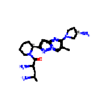 Cc1cn2nc([C@@H]3CCCCN3C(=O)C(N)CC(C)N)cc2nc1N1CC[C@H](N)C1